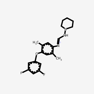 Cc1cc(Oc2cc(F)cc(F)c2)c(C)cc1/N=C/NN1CCCCC1